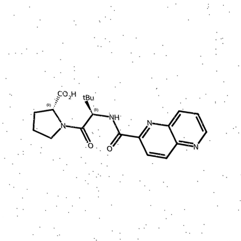 CC(C)(C)[C@@H](NC(=O)c1ccc2ncccc2n1)C(=O)N1CCC[C@@H]1C(=O)O